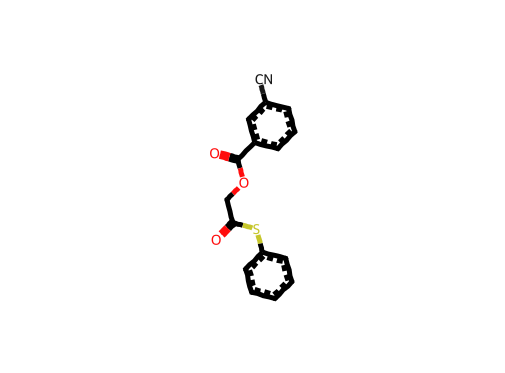 N#Cc1cccc(C(=O)OCC(=O)Sc2ccccc2)c1